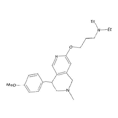 CCN(CC)CCCOc1cc2c(cn1)C(c1ccc(OC)cc1)CN(C)C2